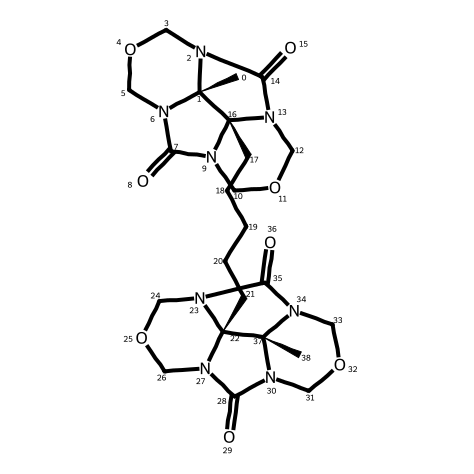 C[C@]12N3COCN1C(=O)N1COCN(C3=O)[C@]12CCCCC[C@]12N3COCN1C(=O)N1COCN(C3=O)[C@]12C